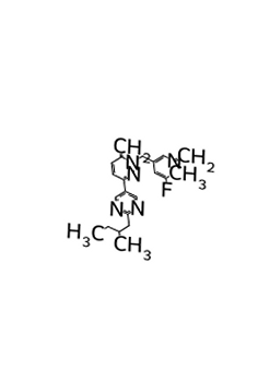 C=N/C=C(\C=C(/C)F)CN1N=C(c2cnc(C[C@@H](C)CC)nc2)C=CC1=C